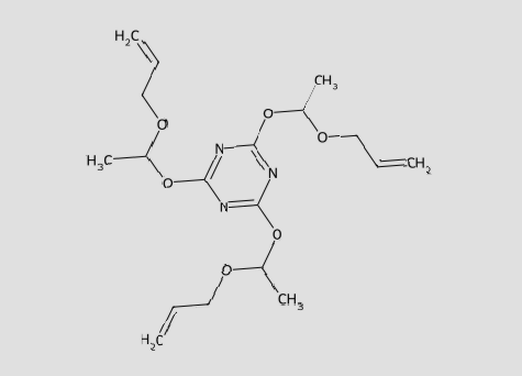 C=CCOC(C)Oc1nc(OC(C)OCC=C)nc(OC(C)OCC=C)n1